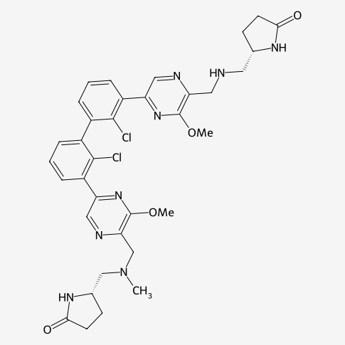 COc1nc(-c2cccc(-c3cccc(-c4cnc(CN(C)C[C@@H]5CCC(=O)N5)c(OC)n4)c3Cl)c2Cl)cnc1CNC[C@@H]1CCC(=O)N1